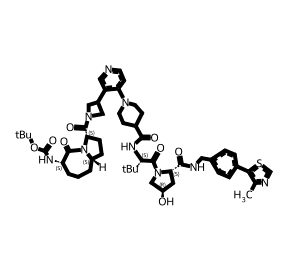 Cc1ncsc1-c1ccc(CNC(=O)[C@@H]2C[C@@H](O)CN2C(=O)[C@@H](NC(=O)C2CCN(c3ccncc3C3CN(C(=O)[C@@H]4CC[C@@H]5CCC[C@H](NC(=O)OC(C)(C)C)C(=O)N54)C3)CC2)C(C)(C)C)cc1